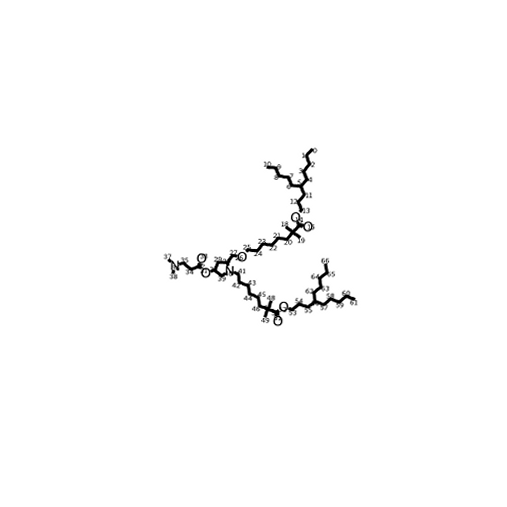 CCCCCC(CCCCC)CCCOC(=O)C(C)(C)CCCCCCOCC1CC(OC(=O)CCN(C)C)CN1CCCCCCC(C)(C)C(=O)OCCCC(CCCCC)CCCCC